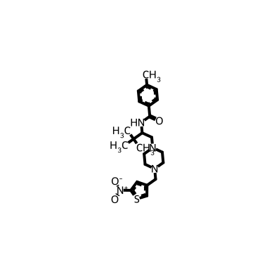 Cc1ccc(C(=O)NC(CN2CCN(Cc3csc([N+](=O)[O-])c3)CC2)C(C)(C)C)cc1